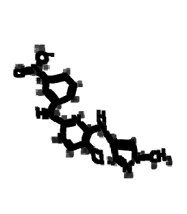 Cn1cc(Nc2nc(Nc3cccc([N+](=O)[O-])c3)ncc2Cl)cn1